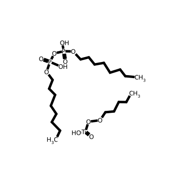 CCCCCCCCOP(=O)(O)OP(=O)(O)OCCCCCCCC.CCCCCO[O][Ti](=[O])[OH]